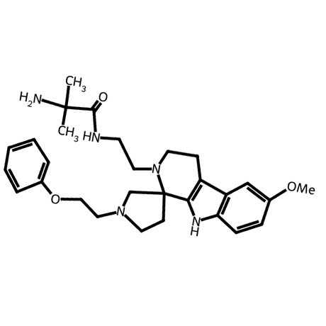 COc1ccc2[nH]c3c(c2c1)CCN(CCNC(=O)C(C)(C)N)C31CCN(CCOc2ccccc2)C1